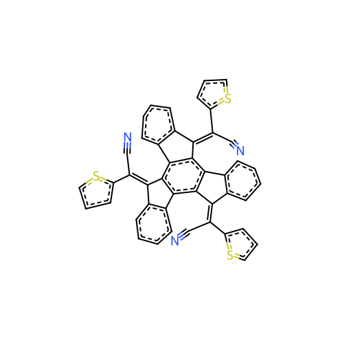 N#C/C(=C1/c2ccccc2-c2c1c1c(c3c2/C(=C(\C#N)c2cccs2)c2ccccc2-3)/C(=C(\C#N)c2cccs2)c2ccccc2-1)c1cccs1